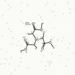 COC(=O)[CH](C)[Sn+]([CH](C)C(=O)OC)[CH](C)C(=O)OC.[Cl-]